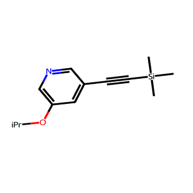 CC(C)Oc1cncc(C#C[Si](C)(C)C)c1